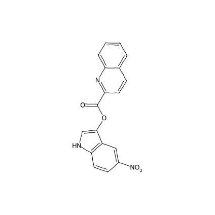 O=C(Oc1c[nH]c2ccc([N+](=O)[O-])cc12)c1ccc2ccccc2n1